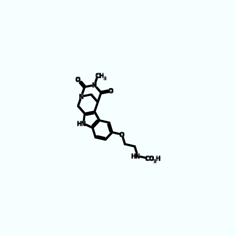 CN1C(=O)C2CN(Cc3[nH]c4ccc(OCCNC(=O)O)cc4c32)C1=O